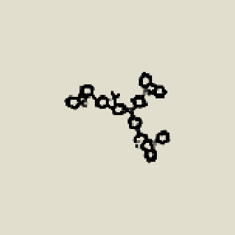 CC1(C)c2cc(-c3cccc4c3oc3ccccc34)ccc2-c2ccc(N(c3ccc(-c4ccc5c6ccccc6n(-c6ccccc6)c5c4)cc3)c3ccc(-n4c5ccccc5c5ccccc54)cc3)cc21